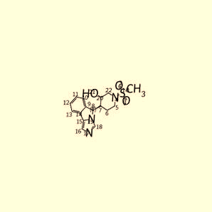 CS(=O)(=O)N1CCC([C@@H]2c3ccccc3-c3cncn32)C(O)C1